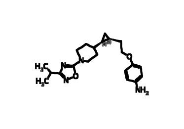 CC(C)c1noc(N2CCC([C@H]3C[C@H]3CCOc3ccc(N)cc3)CC2)n1